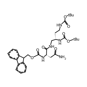 CC(C)(C)OC(=O)NCC[C@@H](CNC(=O)[C@H](CC(N)=O)NC(=O)OCC1c2ccccc2-c2ccccc21)NC(=O)OC(C)(C)C